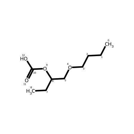 CCCCOCC(CC)OC(=O)O